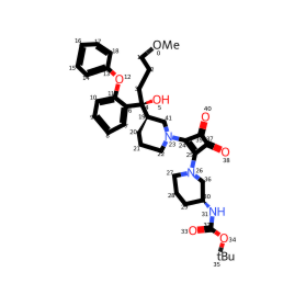 COCCC[C@@](O)(c1ccccc1Oc1ccccc1)[C@@H]1CCCN(c2c(N3CCC[C@H](NC(=O)OC(C)(C)C)C3)c(=O)c2=O)C1